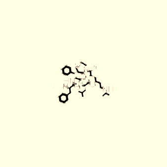 CC(C)C[C@@H](NC(=O)[C@@H](Cc1ccccc1)NC(=O)[C@H](N)Cc1ccccc1)C(=O)N[C@H](CCCCNC(C)C)C(=O)N1CCCOCC1